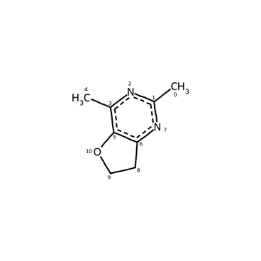 Cc1nc(C)c2c(n1)CCO2